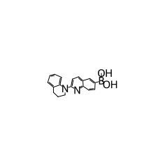 OB(O)c1ccc2nc(N3CCCc4ccccc43)ccc2c1